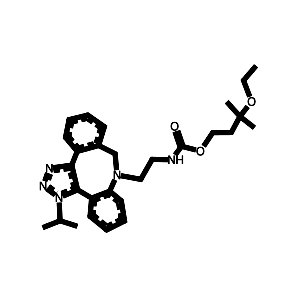 CCOC(C)(C)CCOC(=O)NCCN1Cc2ccccc2-c2nnn(C(C)C)c2-c2ccccc21